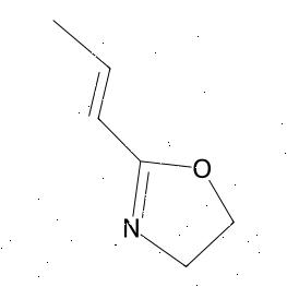 C/C=C/C1=NCCO1